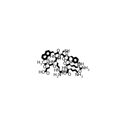 CC(=O)N[C@H](CCC(=O)O)C(=O)N[C@@H](CCCNC(=N)N)C(=O)N[C@@H](Cc1ccc2ccccc2c1)C(=O)N[C@@H](CS)C(=O)N[C@@H](Cc1ccc(O)cc1)C(=O)N[C@@H](CCCNC(N)=O)C(=O)N[C@@H](CCCCN)C(=O)O